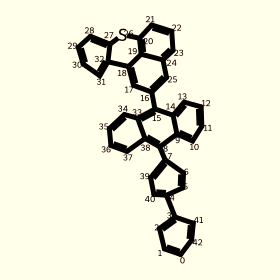 c1ccc(-c2ccc(-c3c4ccccc4c(-c4cc5c6c(cccc6c4)Sc4ccccc4-5)c4ccccc34)cc2)cc1